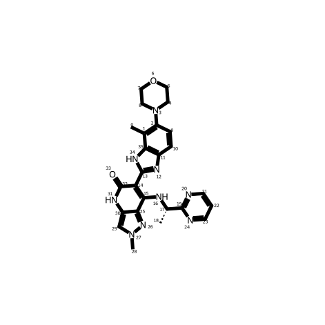 Cc1c(N2CCOCC2)ccc2nc(-c3c(N[C@@H](C)c4ncccn4)c4nn(C)cc4[nH]c3=O)[nH]c12